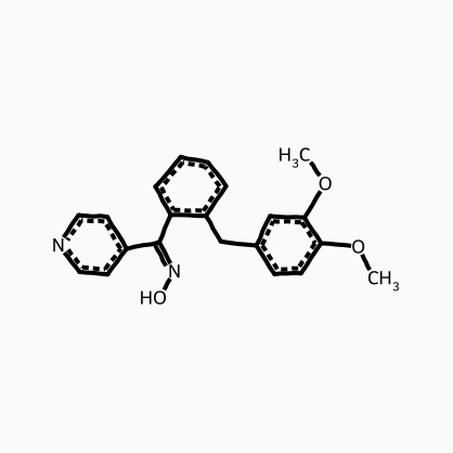 COc1ccc(Cc2ccccc2C(=NO)c2ccncc2)cc1OC